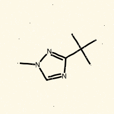 [CH2]n1cnc(C(C)(C)C)n1